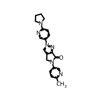 Cc1ccc(N2Cc3cn(-c4ccc(N5CCCC5)nc4)nc3C2=O)cn1